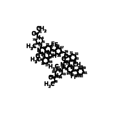 C=CC(=O)N1CCN(c2nc(=O)n(-c3c(C)cccc3O)c3nc(-c4ccc(COc5cccc(C)c5-n5c(=O)nc(N6CCN(C(=O)C=C)C[C@@H]6C)c6cc(F)c(-c7ccccc7F)nc65)cc4F)c(F)cc23)[C@@H](C)C1